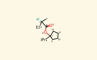 CCC(C)(F)C(=O)OC1(C(C)C)CCCC1